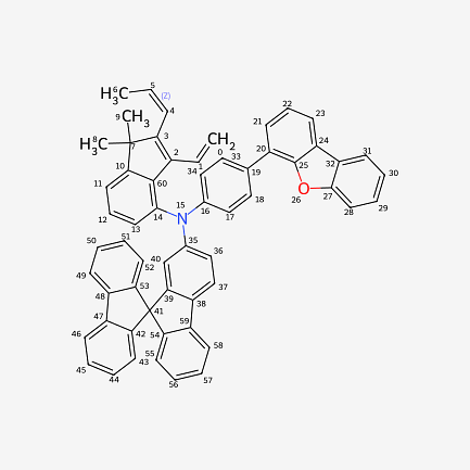 C=CC1=C(/C=C\C)C(C)(C)c2cccc(N(c3ccc(-c4cccc5c4oc4ccccc45)cc3)c3ccc4c(c3)C3(c5ccccc5-c5ccccc53)c3ccccc3-4)c21